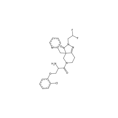 NC(COc1ccccc1Cl)C(=O)N1CCC2=NN(CC(F)F)C(=O)C2(Cc2ccccn2)C1